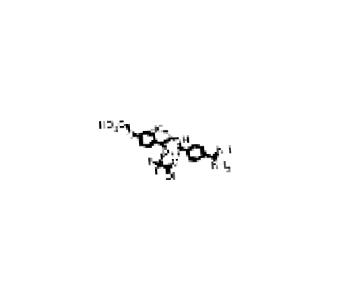 N=C(N)c1ccc(C(=O)N[C@@H](CO)C(=O)c2ccc(OCC(=O)O)cc2)cc1.O=C(O)C(F)(F)F